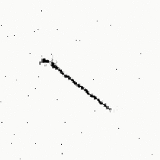 CCCOCCOCCOCCOCCOCCOCCOCCOCCOCCC(=O)NCC(N)=O